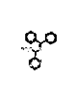 CCOC(=O)C(N=C(c1ccccc1)c1ccccc1)c1cnccn1